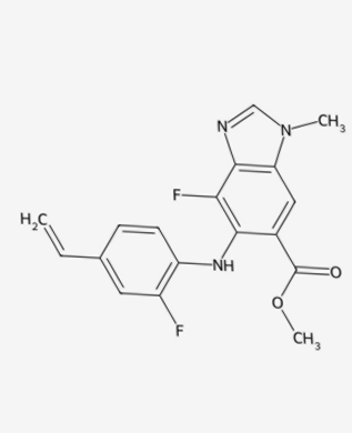 C=Cc1ccc(Nc2c(C(=O)OC)cc3c(ncn3C)c2F)c(F)c1